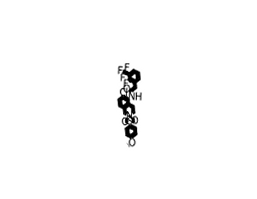 COc1ccc(S(=O)(=O)N2CCc3c(ccc(Cl)c3NC(=O)Cc3cccc(C(F)(F)F)c3F)C2)cc1